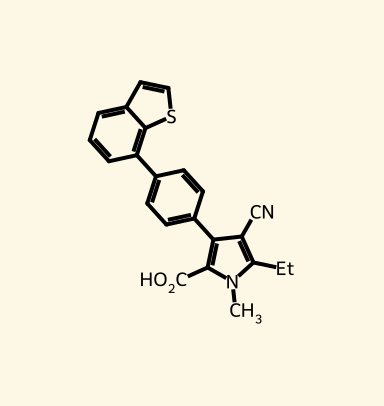 CCc1c(C#N)c(-c2ccc(-c3cccc4ccsc34)cc2)c(C(=O)O)n1C